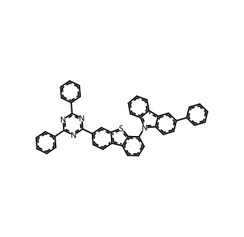 c1ccc(-c2ccc3c(c2)c2ccccc2n3-c2cccc3c2sc2cc(-c4nc(-c5ccccc5)nc(-c5ccccc5)n4)ccc23)cc1